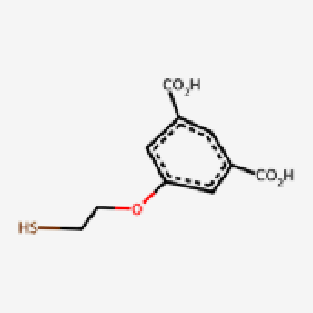 O=C(O)c1cc(OCCS)cc(C(=O)O)c1